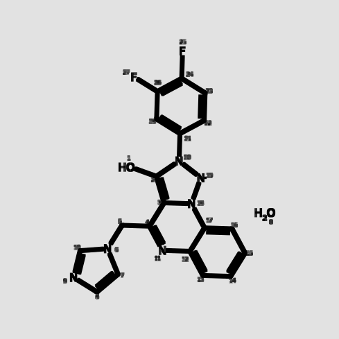 O.OC1=C2C(Cn3ccnc3)=Nc3ccccc3N2[N]N1c1ccc(F)c(F)c1